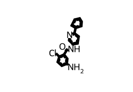 Nc1ccc(Cl)c(C(=O)Nc2ccc(-c3ccccc3)nc2)c1